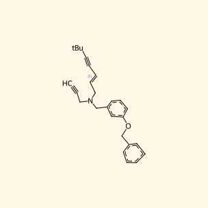 C#CCN(C/C=C/C#CC(C)(C)C)Cc1cccc(OCc2ccccc2)c1